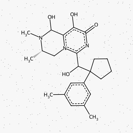 Cc1cc(C)cc(C2(C(O)c3nc(=O)c(O)c4n3C[C@H](C)N(C)C4O)CCCC2)c1